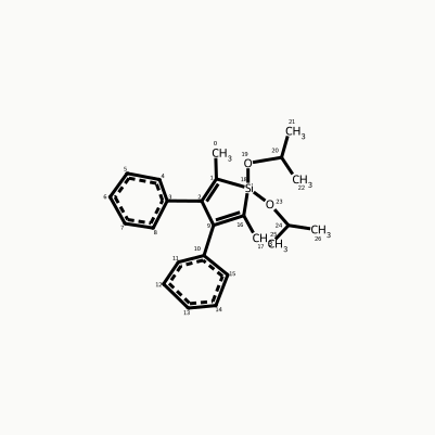 CC1=C(c2ccccc2)C(c2ccccc2)=C(C)[Si]1(OC(C)C)OC(C)C